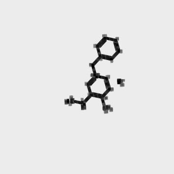 CNc1c[n+](Cc2ccccc2)ccc1C.[Br-]